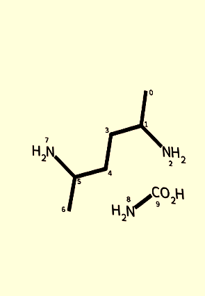 CC(N)CCC(C)N.NC(=O)O